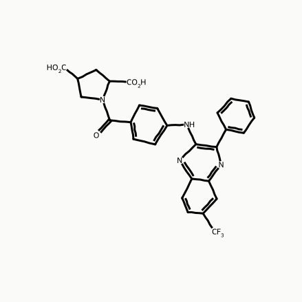 O=C(O)C1CC(C(=O)O)N(C(=O)c2ccc(Nc3nc4ccc(C(F)(F)F)cc4nc3-c3ccccc3)cc2)C1